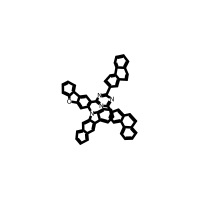 c1ccc2cc3c(cc2c1)c1ccccc1n3-c1cc2oc3ccccc3c2cc1-c1nc(-c2ccc3c(ccc4ccccc43)c2)nc(-c2ccc3c(ccc4ccccc43)c2)n1